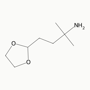 CC(C)(N)CCC1OCCO1